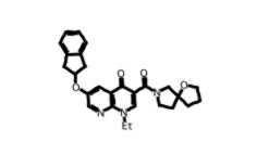 CCn1cc(C(=O)N2CCC3(CCCO3)C2)c(=O)c2cc(OC3Cc4ccccc4C3)cnc21